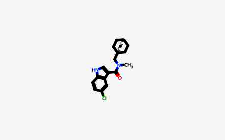 CN(CC12CCC(CC1)CC2)C(=O)c1c[nH]c2ccc(Cl)cc12